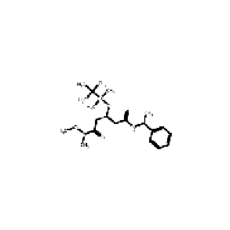 CON(C)C(=O)C[C@H](CC(=O)N[C@@H](C)c1ccccc1)O[Si](C)(C)C(C)(C)C